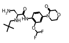 CC(C)(C)CN[C@@H](CN)C(=O)Nc1ccc(N2CCOCC2=O)cc1OC(F)F